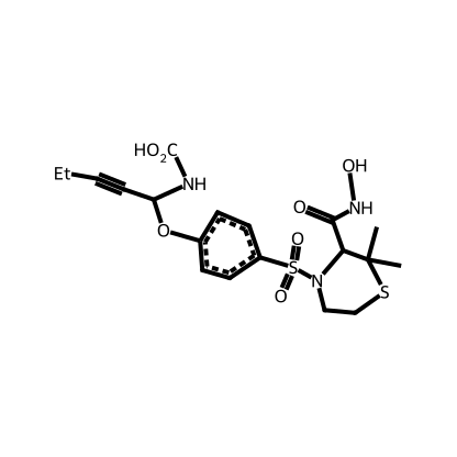 CCC#CC(NC(=O)O)Oc1ccc(S(=O)(=O)N2CCSC(C)(C)C2C(=O)NO)cc1